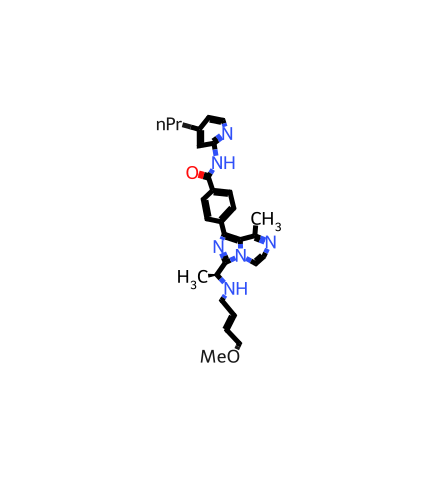 CCCc1ccnc(NC(=O)c2ccc(-c3nc([C@H](C)NC/C=C/COC)n4ccnc(C)c34)cc2)c1